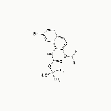 CC(C)(C)OC(=O)Nc1c(OC(F)F)ccc2ccc(Br)cc12